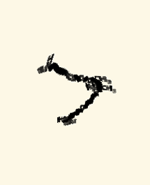 CC(C)(COCCCCCOCCCCCNC(C)(C)C)CC(C)(C)COCCOCCOCCCCNC(C)(C)C